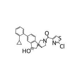 O=C(c1csc(Cl)n1)N1CC[C@]2(C[C@H](O)c3cc(-c4ccccc4C4CC4)ccc32)C1